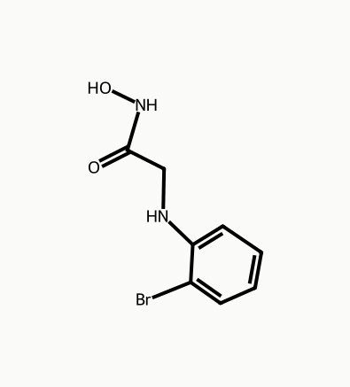 O=C(CNc1ccccc1Br)NO